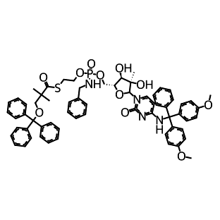 COc1ccc(C(Nc2ccn(C3O[C@H](COP(=O)(NCc4ccccc4)OCCSC(=O)C(C)(C)COC(c4ccccc4)(c4ccccc4)c4ccccc4)[C@@H](O)[C@@]3(C)O)c(=O)n2)(c2ccccc2)c2ccc(OC)cc2)cc1